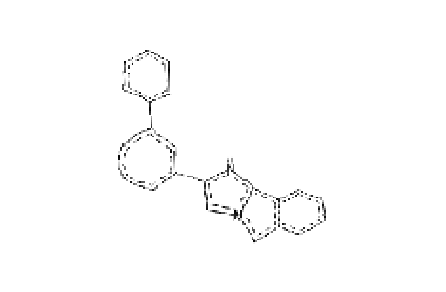 c1ccc(-c2cccc(-c3cn4cc5ccccc5c4[nH]3)c2)cc1